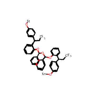 CCOc1ccc(C(CC(F)(F)F)c2ccccc2OC(OC(Oc2ccccc2C(CC(F)(F)F)c2ccc(OCC)cc2)c2ccccc2)c2ccccc2)cc1